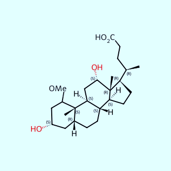 COC1C[C@@H](O)C[C@H]2CC[C@@H]3[C@H](C[C@H](O)[C@]4(C)[C@@H]([C@H](C)CCC(=O)O)CC[C@@H]34)[C@@]12C